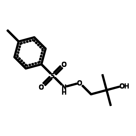 Cc1ccc(S(=O)(=O)NOCC(C)(C)O)cc1